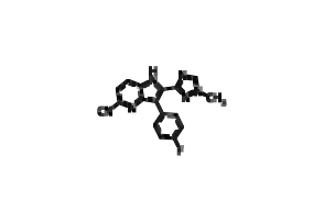 [C-]#[N+]c1ccc2[nH]c(-c3ncn(C)n3)c(-c3ccc(F)cc3)c2n1